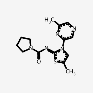 Cc1cncc(-n2cc(C)s/c2=N\C(=O)N2CCCC2)n1